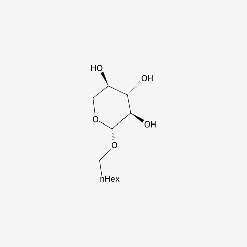 CCCCCCCO[C@@H]1OC[C@@H](O)[C@H](O)[C@H]1O